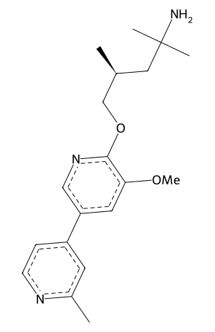 COc1cc(-c2ccnc(C)c2)cnc1OC[C@@H](C)CC(C)(C)N